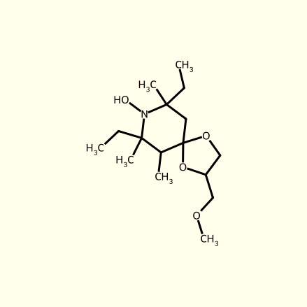 CCC1(C)CC2(OCC(COC)O2)C(C)C(C)(CC)N1O